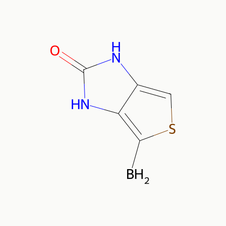 Bc1scc2[nH]c(=O)[nH]c12